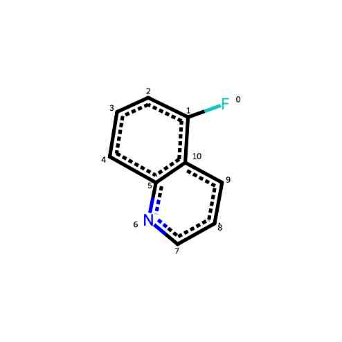 Fc1cccc2nc[c]cc12